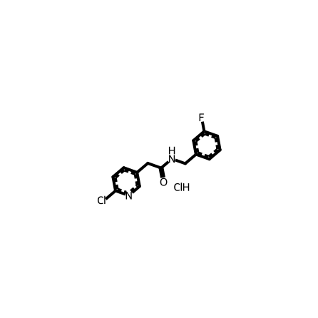 Cl.O=C(Cc1ccc(Cl)nc1)NCc1cccc(F)c1